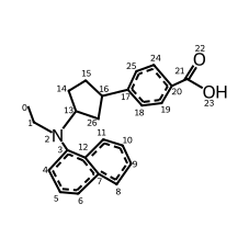 CCN(c1cccc2ccccc12)C1CCC(c2ccc(C(=O)O)cc2)C1